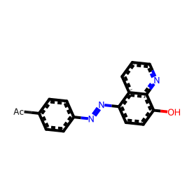 CC(=O)c1ccc(N=Nc2ccc(O)c3ncccc23)cc1